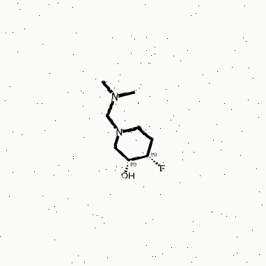 CN(C)CN1CC[C@H](F)[C@H](O)C1